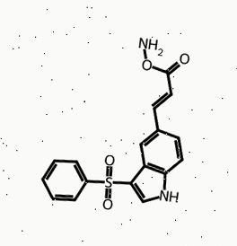 NOC(=O)/C=C/c1ccc2[nH]cc(S(=O)(=O)c3ccccc3)c2c1